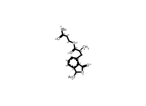 CC(=O)OC1OC(=O)c2c(C[C@H](C)C(=O)OCCC(=O)C(C)(C)C)cccc21